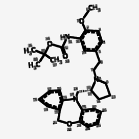 COc1ccc(CCN2CCC[C@@H]2CN2c3ccccc3COc3ccccc32)cc1NC(=O)OC(C)(C)C